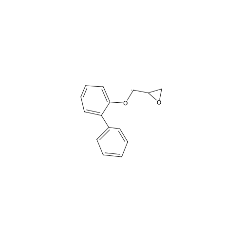 [CH](Oc1ccccc1-c1ccccc1)C1CO1